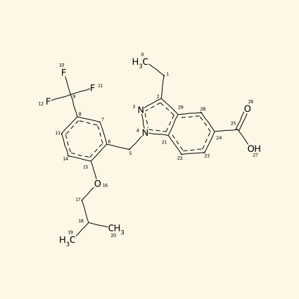 CCc1nn(Cc2cc(C(F)(F)F)ccc2OCC(C)C)c2ccc(C(=O)O)cc12